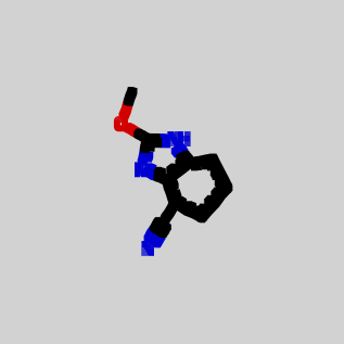 COc1nc2c(C#N)cccc2[nH]1